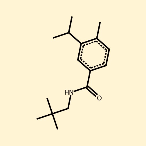 Cc1ccc(C(=O)NCC(C)(C)C)cc1C(C)C